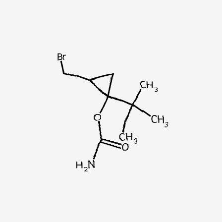 CC(C)(C)C1(OC(N)=O)CC1CBr